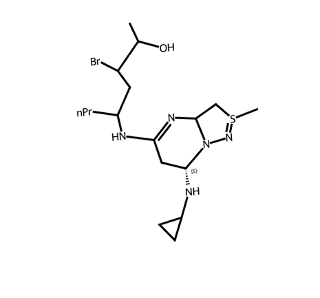 CCCC(CC(Br)C(C)O)NC1=NC2CS(C)=NN2[C@H](NC2CC2)C1